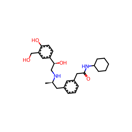 C[C@H](Cc1cccc(CC(=O)NC2CCCCC2)c1)NC[C@H](O)c1ccc(O)c(CO)c1